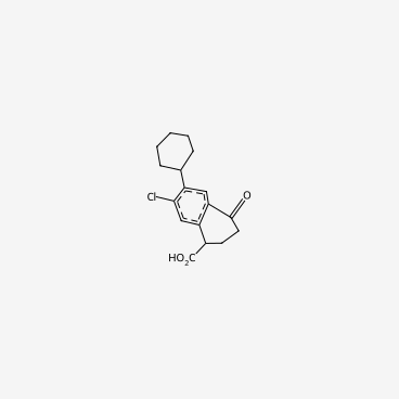 O=C1CCC(C(=O)O)c2cc(Cl)c(C3CCCCC3)cc21